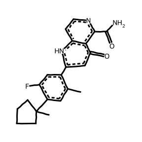 Cc1cc(C2(C)CCCC2)c(F)cc1-c1cc(=O)c2c(C(N)=O)nccc2[nH]1